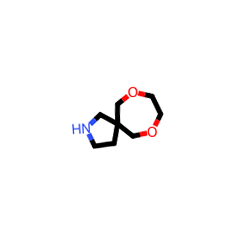 C1CC2(CN1)COCCOC2